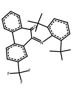 CC(C)(C)c1cccc(C(C)(C)C)c1N=C1C(=O)c2ccccc2-c2ccc(C(F)(F)F)cc21